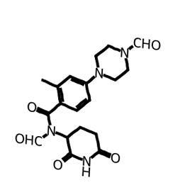 Cc1cc(N2CCN(C=O)CC2)ccc1C(=O)N(C=O)C1CCC(=O)NC1=O